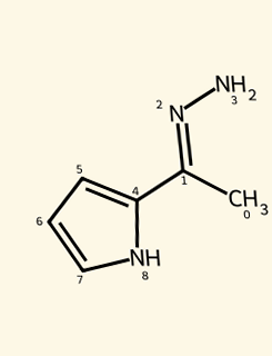 CC(=NN)c1ccc[nH]1